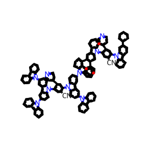 N#Cc1cc(-n2c3ccc(-n4c5ccccc5c5ccccc54)cc3c3cc(-n4c5ccccc5c5ccccc54)ccc32)c(-c2ccncc2)cc1-n1c2ccc(-n3c4ccccc4c4ccccc43)cc2c2cc(-n3c4ccccc4c4c(-c5cc6c7ccccc7n(-c7cc(C#N)c(-n8c9ccccc9c9ccc(-c%10ccccc%10)cc98)cc7-c7ccncc7)c6cc5-c5ccccc5)cccc43)ccc21